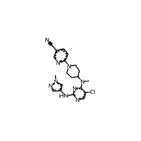 CN(c1nc(Nc2cnn(C)c2)ncc1Cl)C1CCN(c2ccc(C#N)cn2)CC1